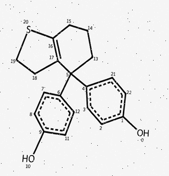 Oc1ccc(C2(c3ccc(O)cc3)CCCC3=C2CCS3)cc1